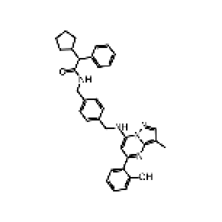 Cc1cnn2c(NCc3ccc(CNC(=O)C(c4ccccc4)C4CCCC4)cc3)cc(-c3ccccc3O)nc12